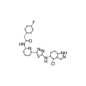 O=C(Cc1ccc(F)cc1)Nc1cccc(-c2nnc(Nc3ccc4[nH]ncc4c3Cl)s2)n1